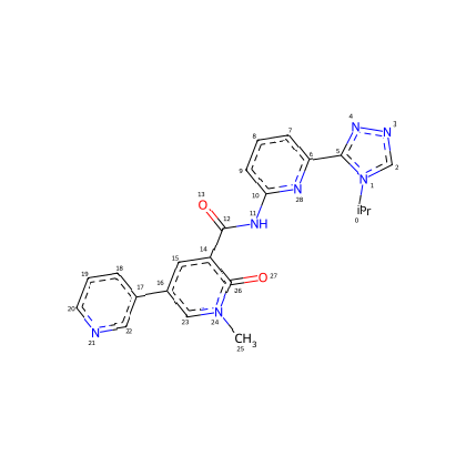 CC(C)n1cnnc1-c1cccc(NC(=O)c2cc(-c3cccnc3)cn(C)c2=O)n1